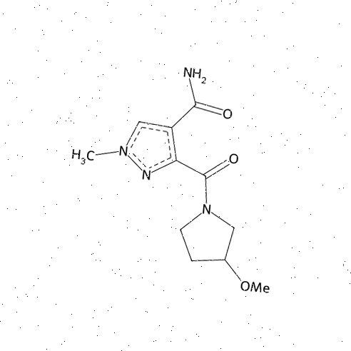 COC1CCN(C(=O)c2nn(C)cc2C(N)=O)C1